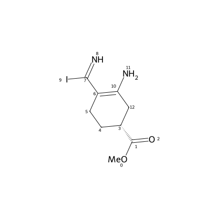 COC(=O)[C@@H]1CCC(C(=N)I)=C(N)C1